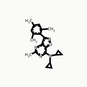 Cc1cc(C)c(-c2noc3c(N(C4CC4)C4CC4)nc(C)nc23)c(C)c1